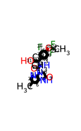 Cc1cnc2c(c1)NC(=O)CN2C(=O)NC(c1ccc(OC(C)(F)F)c(F)c1)C(C)(C)O